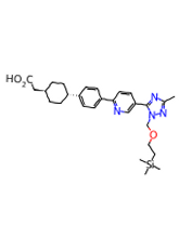 Cc1nc(-c2ccc(-c3ccc([C@H]4CC[C@H](CC(=O)O)CC4)cc3)nc2)n(COCC[Si](C)(C)C)n1